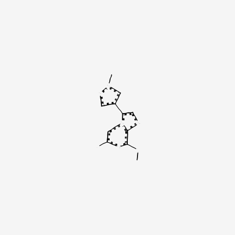 CSc1nc(Br)cn2c(-c3cnn(C)c3)cnc12